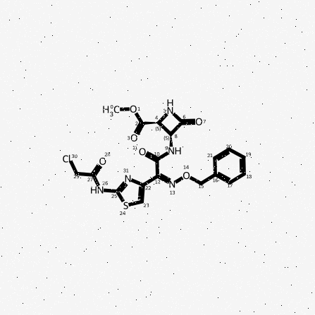 COC(=O)[C@H]1NC(=O)[C@H]1NC(=O)C(=NOCc1ccccc1)c1csc(NC(=O)CCl)n1